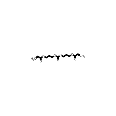 C=CC(=O)OCCCOC(=O)OCCCOC(=O)C=C